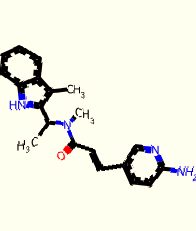 Cc1c(C(C)N(C)C(=O)C=Cc2ccc(N)nc2)[nH]c2ccccc12